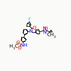 CC1(c2nc(C34CCC(CN(C(=O)C56CC(F)C(C5)C6)c5cccc(-c6ccc(NS(C)(=O)=O)cc6)c5)(CC3)CC4)no2)CC1